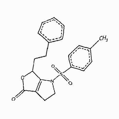 Cc1ccc(S(=O)(=O)N2CCC3=C2C(CCc2ccccc2)OC3=O)cc1